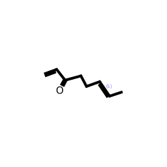 C=CC(=O)CC/C=C/C